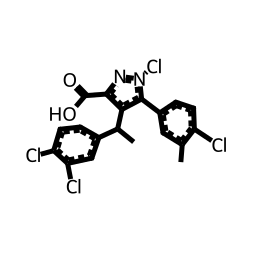 Cc1cc(-c2c(C(C)c3ccc(Cl)c(Cl)c3)c(C(=O)O)nn2Cl)ccc1Cl